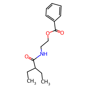 CCC(CC)C(=O)NCCOC(=O)c1ccccc1